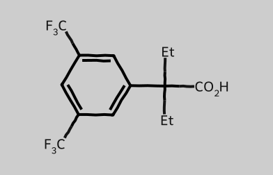 CCC(CC)(C(=O)O)c1cc(C(F)(F)F)cc(C(F)(F)F)c1